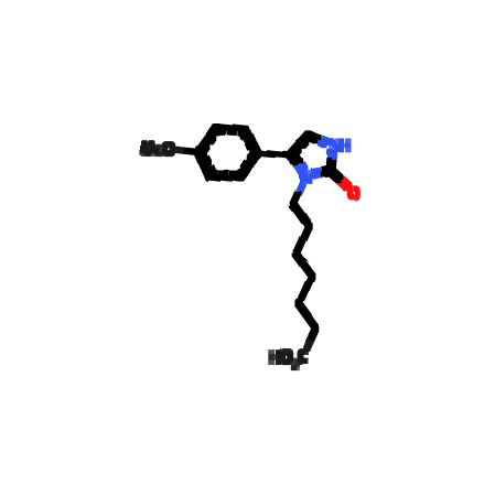 COc1ccc(-c2c[nH]c(=O)n2CCCCCCC(=O)O)cc1